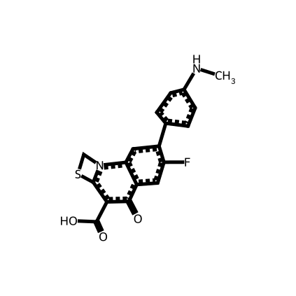 CNc1ccc(-c2cc3c(cc2F)c(=O)c(C(=O)O)c2n3CS2)cc1